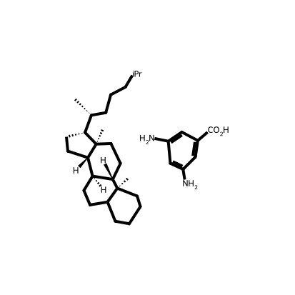 CC(C)CCC[C@@H](C)[C@H]1CC[C@H]2[C@@H]3CCC4CCCC[C@]4(C)[C@H]3CC[C@]12C.Nc1cc(N)cc(C(=O)O)c1